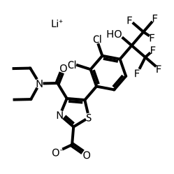 CCN(CC)C(=O)c1nc(C(=O)[O-])sc1-c1ccc(C(O)(C(F)(F)F)C(F)(F)F)c(Cl)c1Cl.[Li+]